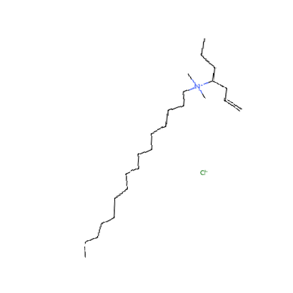 C=CCC(CCC)[N+](C)(C)CCCCCCCCCCCCCCCC.[Cl-]